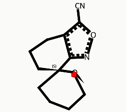 N#Cc1onc2c1CCC[C@@]21CCCCC12OCCO2